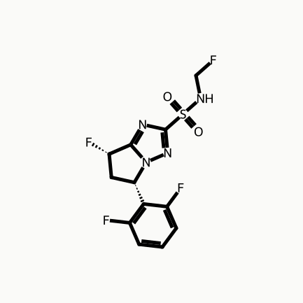 O=S(=O)(NCF)c1nc2n(n1)[C@H](c1c(F)cccc1F)C[C@@H]2F